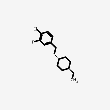 CC[C@H]1CC[C@H](CCc2ccc(Cl)c(F)c2)CC1